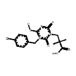 CCSc1nc(=O)n(CC(C)(C)C(=O)OC)c(=O)n1Cc1ccc(Cl)cc1